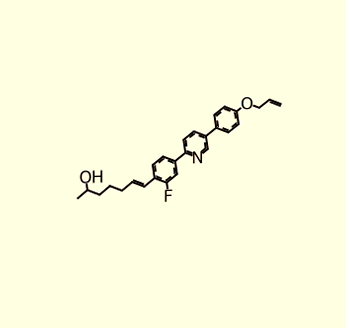 C=CCOc1ccc(-c2ccc(-c3ccc(/C=C/CCCC(C)O)c(F)c3)nc2)cc1